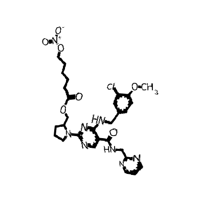 COc1ccc(CNc2nc(N3CCCC3COC(=O)CCCCCO[N+](=O)[O-])ncc2C(=O)NCc2ncccn2)cc1Cl